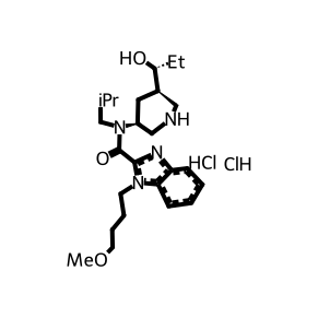 CC[C@@H](O)[C@H]1CNC[C@@H](N(CC(C)C)C(=O)c2nc3ccccc3n2CCCCOC)C1.Cl.Cl